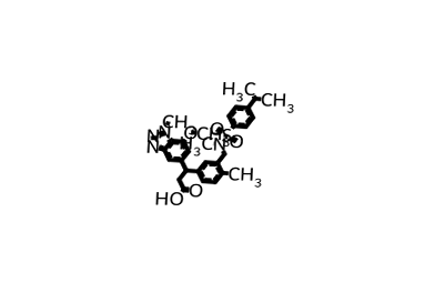 COc1cc(C(CC(=O)O)c2ccc(C)c(CN(C)S(=O)(=O)c3ccc(C(C)C)cc3)c2)cc2nnn(C)c12